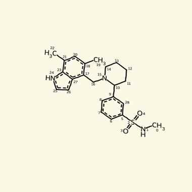 CNS(=O)(=O)c1cccc(C2CCCCN2Cc2c(C)cc(C)c3[nH]ccc23)c1